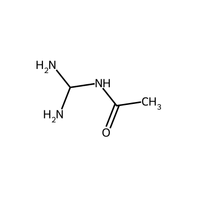 CC(=O)NC(N)N